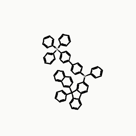 c1ccc(N(c2ccc(-c3ccc([Si](c4ccccc4)(c4ccccc4)c4ccccc4)cc3)cc2)c2ccc3c(c2)C(c2ccccc2)(c2ccc4ccccc4c2)c2ccccc2-3)cc1